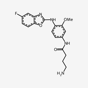 COc1cc(NC(=O)CCCN)ccc1Nc1nc2cc(F)ccc2o1